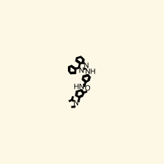 CCN(Cc1ccc(NC(=O)c2ccc(Nc3nc(-c4ccccc4)c4c(n3)=CCCC=4)cc2)c(C)c1)C(C)C